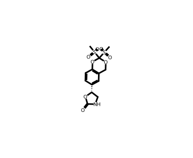 CS(=O)(=O)C1(S(C)(=O)=O)OCc2cc([C@@H]3CNC(=O)O3)ccc2O1